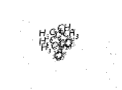 CC1=C(C)C(C)=C(C)[C]1C1C(C)=C(c2ccccc2)c2ccccc21